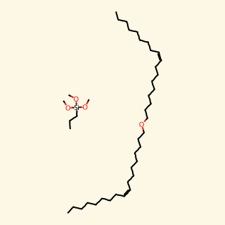 CCCCCCCC/C=C\CCCCCCCCOCCCCCCCC/C=C\CCCCCCCC.CCC[Si](OC)(OC)OC